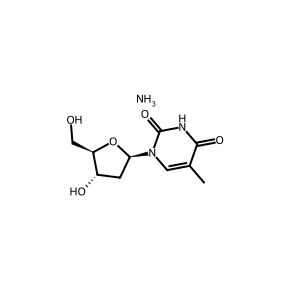 Cc1cn([C@H]2C[C@H](O)[C@@H](CO)O2)c(=O)[nH]c1=O.N